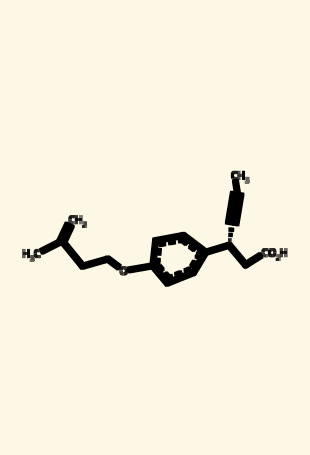 C=C(C)CCOc1ccc([C@H](C#CC)CC(=O)O)cc1